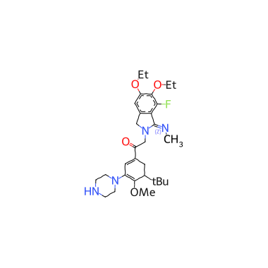 CCOc1cc2c(c(F)c1OCC)/C(=N/C)N(CC(=O)C1=CC(N3CCNCC3)=C(OC)C(C(C)(C)C)C1)C2